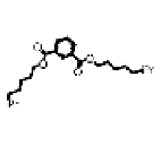 CC(C)CCCCCOC(=O)c1cccc(C(=O)OCCCCCC(C)C)c1